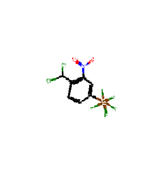 O=[N+]([O-])c1cc(S(F)(F)(F)(F)F)ccc1C(Cl)Cl